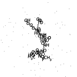 CC[C@@]1(O)C(=O)OCc2c1cc1n(c2=O)Cc2c-1nc1cc(F)c(C)c3c1c2C(NC(=O)CCCNC(=O)CNC(=O)[C@H](Cc1ccccc1)NC(=O)CNC(=O)CNC(=O)CN(CCOCCOCCOCCO)C(=O)CCCCCN1C(=O)C=CC1=O)CC3